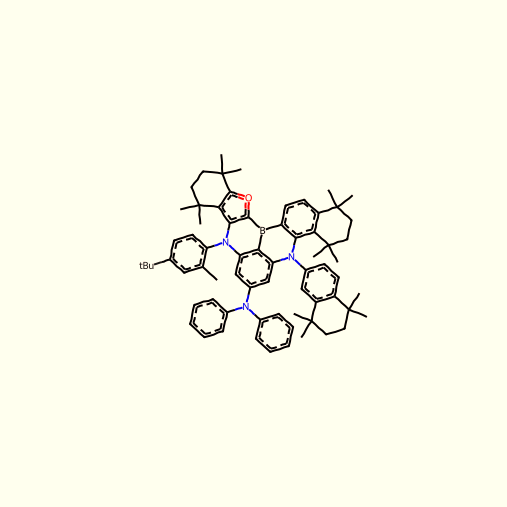 Cc1cc(C(C)(C)C)ccc1N1c2cc(N(c3ccccc3)c3ccccc3)cc3c2B(c2ccc4c(c2N3c2ccc3c(c2)C(C)(C)CCC3(C)C)C(C)(C)CCC4(C)C)c2oc3c(c21)C(C)(C)CCC3(C)C